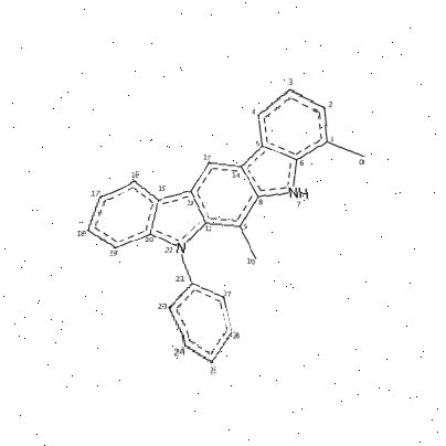 Cc1cccc2c1[nH]c1c(C)c3c(cc12)c1ccccc1n3-c1ccccc1